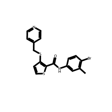 Cc1cc(NC(=O)c2sccc2SCc2ccncc2)ccc1Br